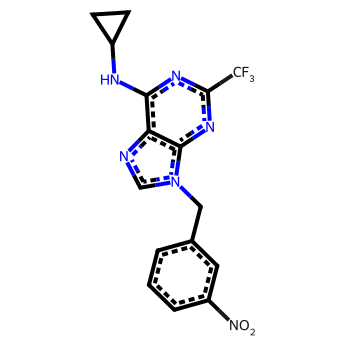 O=[N+]([O-])c1cccc(Cn2cnc3c(NC4CC4)nc(C(F)(F)F)nc32)c1